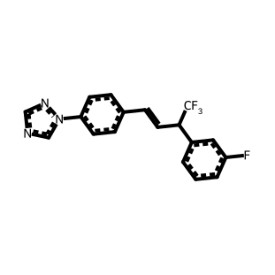 Fc1cccc(C(/C=C/c2ccc(-n3cncn3)cc2)C(F)(F)F)c1